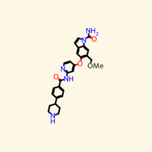 COCc1cc2c(ccn2C(N)=O)cc1Oc1ccnc(NC(=O)c2ccc(C3CCNCC3)cc2)c1